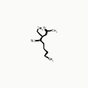 CCCCCC(O)C(CC)CC(C)=O